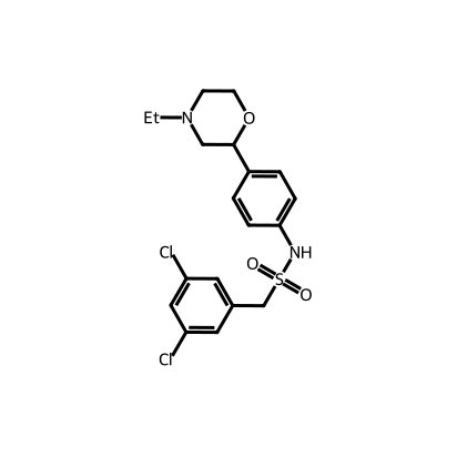 CCN1CCOC(c2ccc(NS(=O)(=O)Cc3cc(Cl)cc(Cl)c3)cc2)C1